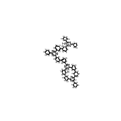 c1ccc(C2=NC(c3cccc(-c4cccc(-c5nc(-c6ccccc6)nc(-c6cccc(-c7cccc(C8=NC(c9cccc(-c%10cccc(-c%11cc(-c%12ccccc%12)nc(-c%12ccccc%12)n%11)c%10)c9)NC(c9ccccc9)=N8)c7)c6)n5)c4)c3)NC(c3ccccc3)=N2)cc1